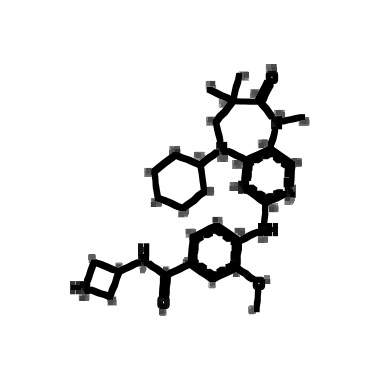 COc1cc(C(=O)NC2CNC2)ccc1Nc1ncc2c(n1)N(C1CCCCC1)CC(C)(C)C(=O)N2C